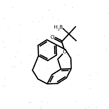 BC(C)(C)C(=O)OCc1cc2ccc1CCc1ccc(cc1)CC2